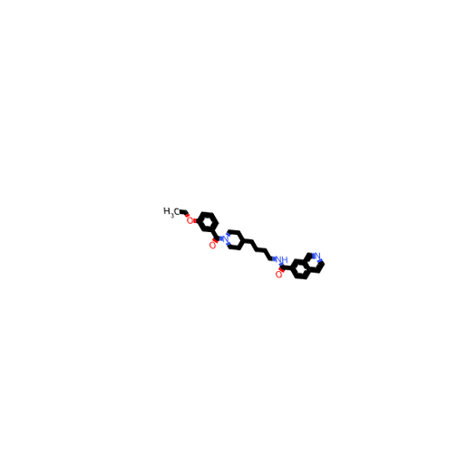 CCOc1cccc(C(=O)N2CCC(CCCCNC(=O)c3ccc4ccncc4c3)CC2)c1